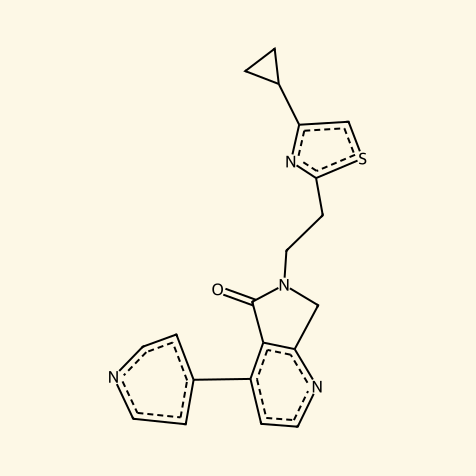 O=C1c2c(-c3ccncc3)ccnc2CN1CCc1nc(C2CC2)cs1